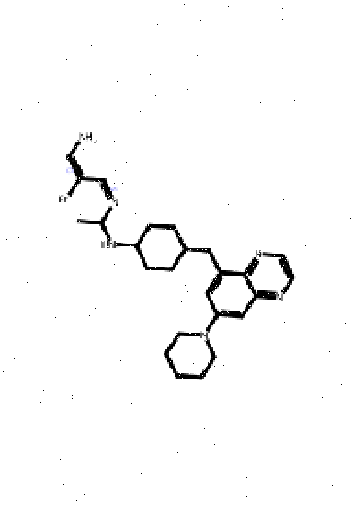 CCC(/C=N\C(C)N[C@H]1CC[C@@H](Cc2cc(N3CCCCC3)cc3nccnc23)CC1)=C/N